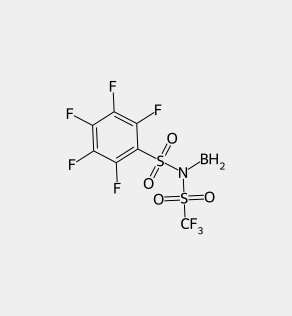 BN(S(=O)(=O)c1c(F)c(F)c(F)c(F)c1F)S(=O)(=O)C(F)(F)F